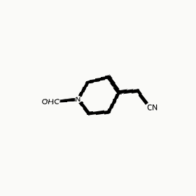 N#CCC1CCN(C=O)CC1